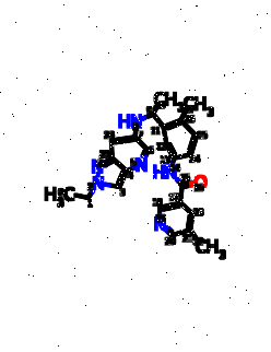 CCn1cc2ncc(N[C@@H](C)c3cc(NC(=O)c4cncc(C)c4)ccc3C)cc2n1